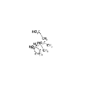 CC(=O)O.CC(=O)O.CC(=O)O.CC(=O)O.CO